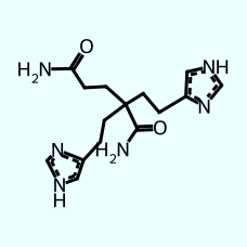 NC(=O)CCC(CCc1c[nH]cn1)(CCc1c[nH]cn1)C(N)=O